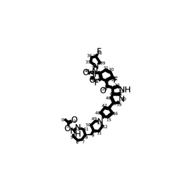 CC(=O)ON1CCC[C@H](CC2CCN(c3ccc(-c4cnc5[nH]cc(C(=O)c6c(F)ccc(N(N7CCC(F)C7)[SH](=O)=O)c6F)c5c4)cc3)CC2)CN1